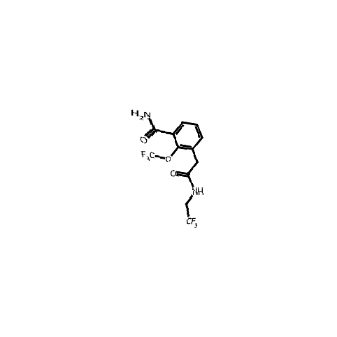 NC(=O)c1cccc(CC(=O)NCC(F)(F)F)c1OC(F)(F)F